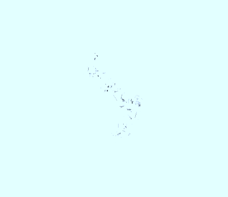 Cc1cc(C#N)nc(N2CCN(S(=O)(=O)c3ccc(NC(=O)c4cc(CNC(=O)OC(C)(C)C)ccc4N(C)S(C)(=O)=O)cc3)CC2)n1